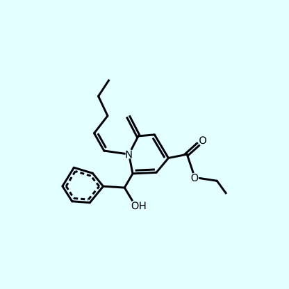 C=C1C=C(C(=O)OCC)C=C(C(O)c2ccccc2)N1/C=C\CCC